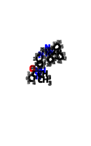 CN(C)c1ccccc1C(=O)Nc1ccc2c(c1)CCN(Cc1ncn(C(c3ccccc3)(c3ccccc3)c3ccccc3)n1)C2